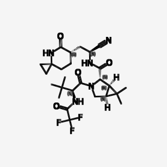 CC(C)(C)[C@H](NC(=O)C(F)(F)F)C(=O)N1C[C@H]2[C@@H]([C@H]1C(=O)N[C@H](C#N)C[C@@H]1CCC3(CC3)NC1=O)C2(C)C